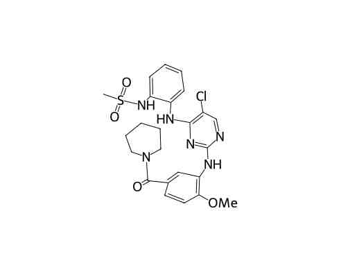 COc1ccc(C(=O)N2CCCCC2)cc1Nc1ncc(Cl)c(Nc2ccccc2NS(C)(=O)=O)n1